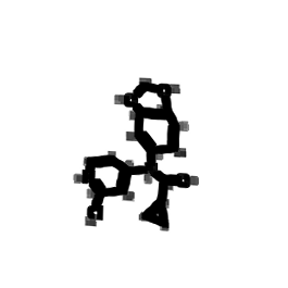 O=C(C1CC1)N(c1ccnc(Cl)c1)c1ccc2c(c1)OCO2